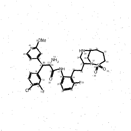 COc1cc([C@H](c2ccc(Cl)c(F)c2)[C@H](N)C(=O)Nc2cccc(F)c2CCC2CNC3CCCS(=O)(=O)N2C3)ccn1